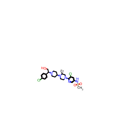 CCC1CN(c2ncc(NS(C)(=O)=O)cc2Cl)CCN1C1CCN(C(CO)c2ccc(Cl)cc2)CC1